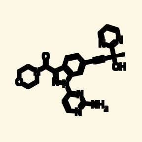 C[C@@](O)(C#Cc1ccc2c(C(=O)N3CCOCC3)nn(-c3ccnc(N)n3)c2c1)c1ncccn1